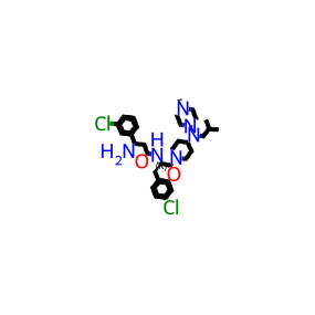 CC(C)CN(C1CCN(C(=O)[C@@H](Cc2ccc(Cl)cc2)NC(=O)CC(N)c2cccc(Cl)c2)CC1)N1CCN(C)CC1